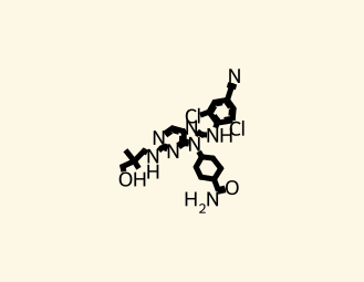 CC(C)(CO)CNc1ncc2nc(Nc3c(Cl)cc(C#N)cc3Cl)n(C3CCC(C(N)=O)CC3)c2n1